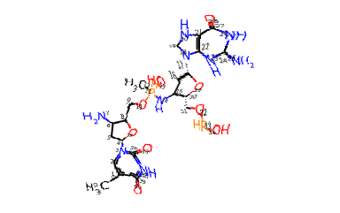 Cc1cn([C@H]2CC(N)[C@@H](CO[PH](C)(O)NC3C[C@H](N4CNC5=C4NC(N)NC5=O)O[C@@H]3COPO)O2)c(=O)[nH]c1=O